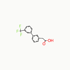 O=C(O)Cc1cccc(-c2cccc(C(F)(F)F)c2)c1